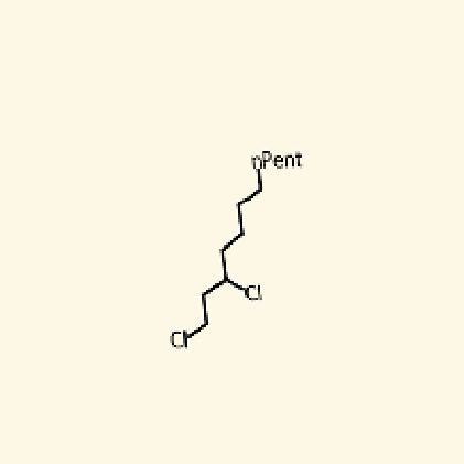 CCCCCCCCCC(Cl)CCCl